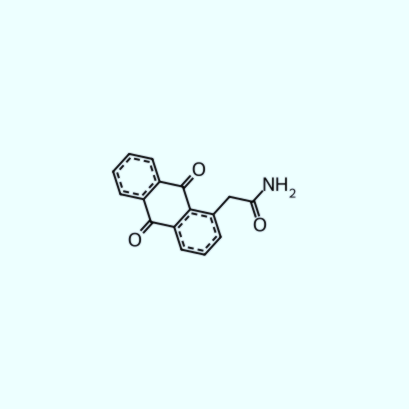 NC(=O)Cc1cccc2c1C(=O)c1ccccc1C2=O